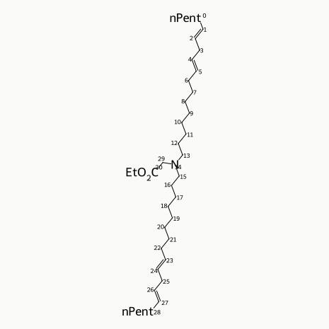 CCCCCC=CCC=CCCCCCCCCN(CCCCCCCCC=CCC=CCCCCC)CC(=O)OCC